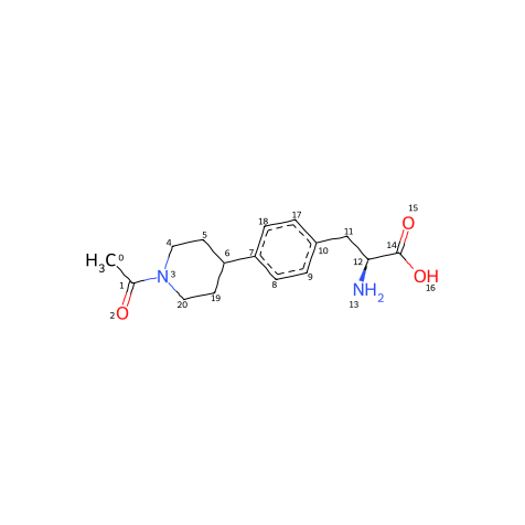 CC(=O)N1CCC(c2ccc(C[C@H](N)C(=O)O)cc2)CC1